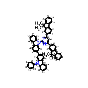 CC1(C)c2ccccc2-c2ccc(-c3cc(-c4ccc5c(c4)C(C)(C)c4ccccc4-5)nc(-n4c5ccccc5c5ccc(-c6ccc7c8ccccc8n(-c8ccccc8)c7c6)cc54)n3)cc21